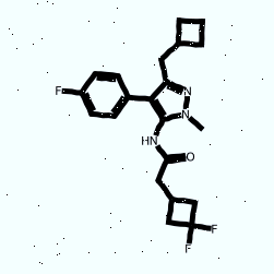 Cn1nc(CC2CCC2)c(-c2ccc(F)cc2)c1NC(=O)CC1CC(F)(F)C1